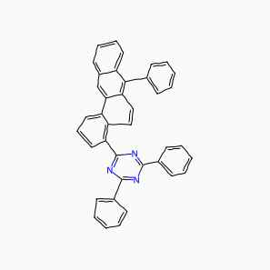 c1ccc(-c2nc(-c3ccccc3)nc(-c3cccc4c3ccc3c(-c5ccccc5)c5ccccc5cc34)n2)cc1